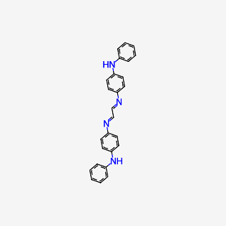 C(/C=N/c1ccc(Nc2ccccc2)cc1)=Nc1ccc(Nc2ccccc2)cc1